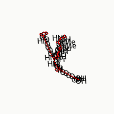 CC[C@H](C)[C@@H]([C@@H](CC(=O)N1CCC[C@H]1[C@H](OC)[C@@H](C)C(=O)N[C@H](C)[C@@H](O)c1ccccc1)OC)N(C)C(=O)[C@@H](NC(=O)[C@H](C(C)C)N(C)C(=O)[C@H](C)NC(=O)[C@@H](NC(=O)[C@@H](CCCCNC(=O)COC1CCCCCc2c1nnn2CCOCCOCCOCCOCCC(=O)NCP(=O)(O)O)NC(=O)CCOCCOCCOCCOCCNC(=O)CCC(=O)N1Cc2ccccc2C#Cc2ccccc21)C(C)C)C(C)C